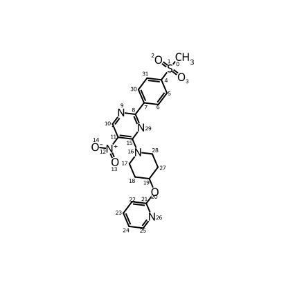 CS(=O)(=O)c1ccc(-c2n[c]c([N+](=O)[O-])c(N3CCC(Oc4ccccn4)CC3)n2)cc1